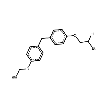 CCC(C)COc1ccc(Cc2ccc(OCC(Cl)CC)cc2)cc1